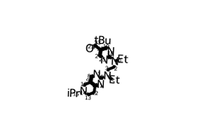 CCN(CCN(CC)c1ncc2c(n1)CCN(C(C)C)C2)c1ncc(C(=O)C(C)(C)C)cn1